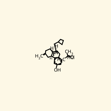 C=C1CC[C@H]2[C@H]3Cc4ccc(O)cc4[C@@]2(CCN3CC2CCC2)C1.CC(C)=O.Cl